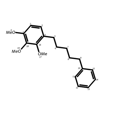 COc1c[c]c(CCCCCc2ccccc2)c(OC)c1OC